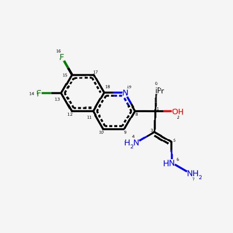 CC(C)C(O)(/C(N)=C/NN)c1ccc2cc(F)c(F)cc2n1